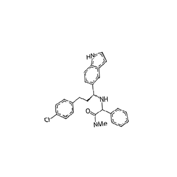 CNC(=O)C(N[C@@H](CCc1ccc(Cl)cc1)c1ccc2[nH]ccc2c1)c1ccccc1